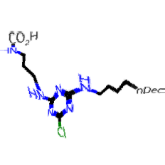 CCCCCCCCCCCCCCNc1nc(Cl)nc(NCCCNC(=O)O)n1